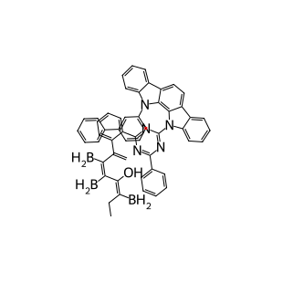 B/C(C(=C)c1ccccc1-c1nc(-c2ccccc2)nc(-n2c3ccccc3c3ccc4c5ccccc5n(-c5cccc(-c6ccccc6)c5)c4c32)n1)=C(B)/C(O)=C(/B)CC